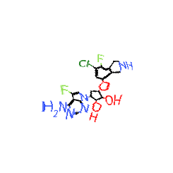 Nc1ncnc2c1c(F)cn2C1CC(Oc2cc(Cl)c(F)c3c2CNCC3)C(O)[C@H]1O